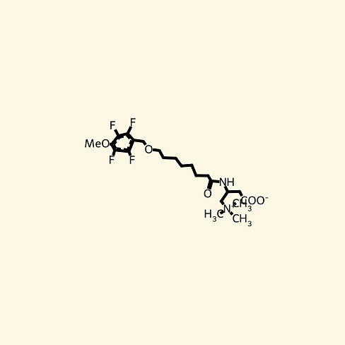 COc1c(F)c(F)c(COCCCCCCCC(=O)NC(CC(=O)[O-])C[N+](C)(C)C)c(F)c1F